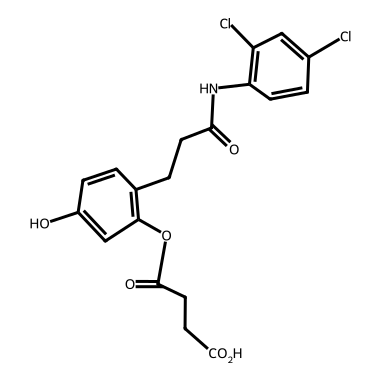 O=C(O)CCC(=O)Oc1cc(O)ccc1CCC(=O)Nc1ccc(Cl)cc1Cl